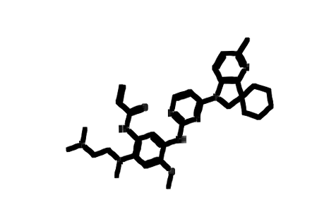 C=CC(=O)Nc1cc(Nc2nccc(N3CC4(CCCCC4)c4nc(C)ccc43)n2)c(OC)cc1N(C)CCN(C)C